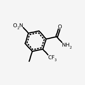 Cc1cc([N+](=O)[O-])cc(C(N)=O)c1C(F)(F)F